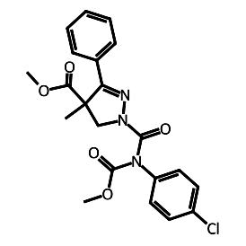 COC(=O)N(C(=O)N1CC(C)(C(=O)OC)C(c2ccccc2)=N1)c1ccc(Cl)cc1